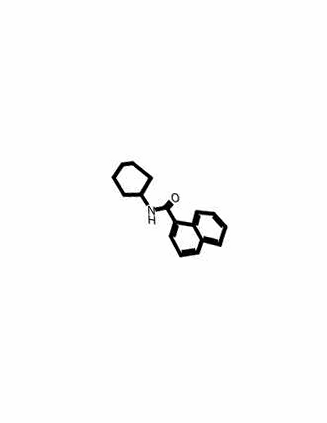 O=C(NC1CCCCC1)c1cccc2ccccc12